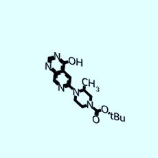 CC1CN(C(=O)OC(C)(C)C)CCN1c1cc2c(O)ncnc2cn1